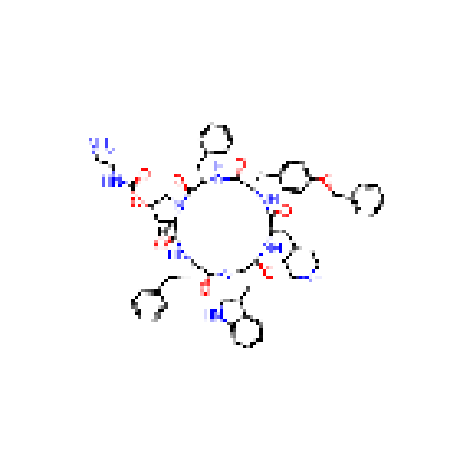 NCCNC(=O)O[C@@H]1C[C@H]2C(=O)N[C@@H](CCc3ccccc3)C(=O)N[C@@H](Cc3c[nH]c4ccccc34)C(=O)N[C@@H](CC3CCNCC3)C(=O)N[C@@H](Cc3ccc(OCc4ccccc4)cc3)C(=O)N[C@@H](Cc3ccccc3)C(=O)N2C1